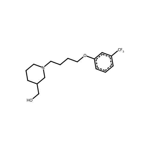 OCC1CCCN(CCCCOc2cccc(C(F)(F)F)c2)C1